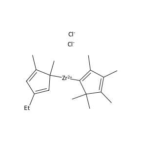 CCC1=C[C](C)([Zr+2][C]2=C(C)C(C)=C(C)C2(C)C)C(C)=C1.[Cl-].[Cl-]